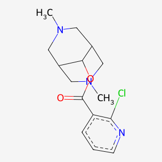 CN1CC2CN(C)CC(C1)C2OC(=O)c1cccnc1Cl